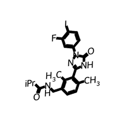 Cc1ccc(CNC(=O)C(C)C)c(C)c1-c1nn(-c2ccc(I)c(F)c2)c(=O)[nH]1